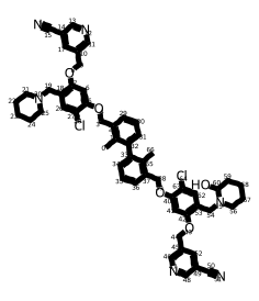 Cc1c(COc2cc(OCc3cncc(C#N)c3)c(CN3CCCCC3)cc2Cl)cccc1-c1cccc(COc2cc(OCc3cncc(C#N)c3)c(CN3CCCCC3O)cc2Cl)c1C